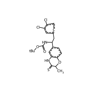 CC1Oc2ccc(C(Cc3ccc(Cl)c(Cl)c3)NC(=O)OC(C)(C)C)cc2NC1=S